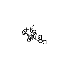 C=CCNC(=O)CC1C(=O)N(CCc2ccc(Cl)cc2Cl)CC(=O)N1CCc1cccs1